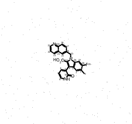 Cc1cc2c(-c3ccc[nH]c3=O)c(C(=O)O)n(Cc3ccc4ncccc4c3)c2cc1F